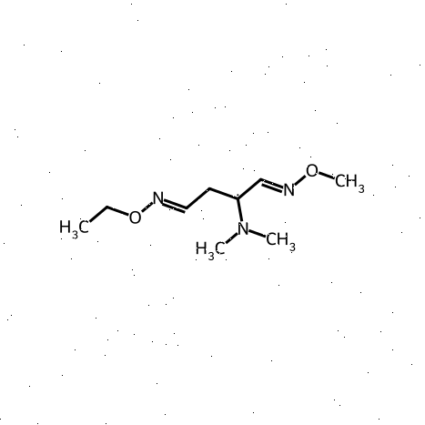 CCON=CC[C](C=NOC)N(C)C